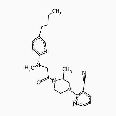 CCCCc1ccc(N(C)CC(=O)N2CCN(c3ncccc3C#N)CC2C)cc1